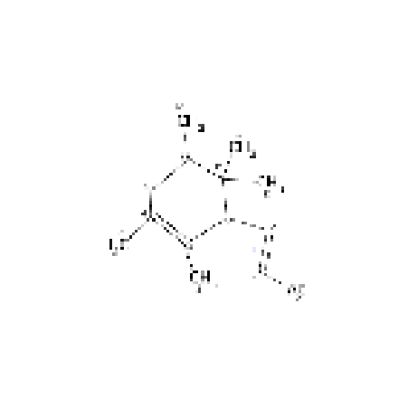 CC(=O)/C=C/C1C(C)=C(C)CC(C)C1(C)C